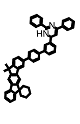 CC1(C)c2ccc(-c3ccc(-c4cccc(C5C=C(c6ccccc6)N=C(c6ccccc6)N5)c4)cc3)cc2-c2cc3c(cc21)-c1ccccc1C31CCCCC1